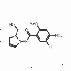 COc1cc(N)c(Cl)cc1C(=O)NN1C#CC[C@H]1CO